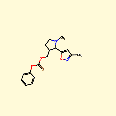 Cc1cc(C2C(COC(=S)Oc3ccccc3)CCN2C)on1